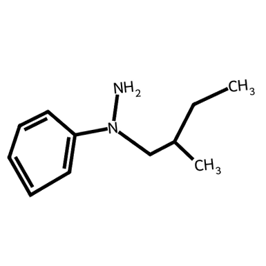 CCC(C)CN(N)c1ccccc1